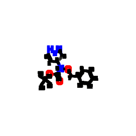 C=C[C@H](CN)N(OCc1ccccc1)C(=O)OC(C)(C)C